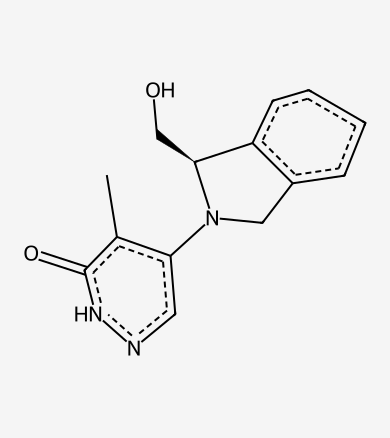 Cc1c(N2Cc3ccccc3[C@@H]2CO)cn[nH]c1=O